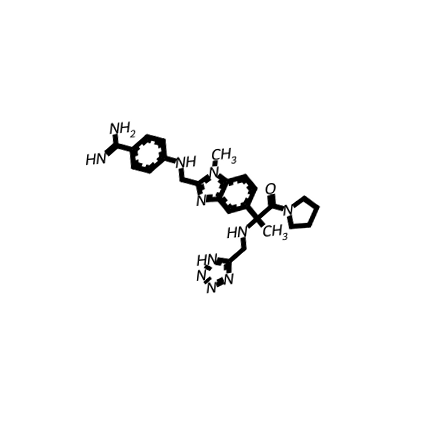 Cn1c(CNc2ccc(C(=N)N)cc2)nc2cc(C(C)(NCc3nnn[nH]3)C(=O)N3CCCC3)ccc21